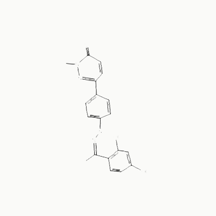 CC(=NNc1ccc(-c2ccc(=O)n(C)n2)cc1)c1ccc(O)cc1O